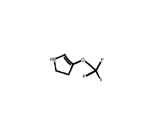 FC(F)(F)OC1=CN[CH]C1